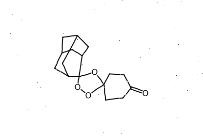 O=C1CCC2(CC1)OOC1(O2)C2CC3CC(C2)CC1C3